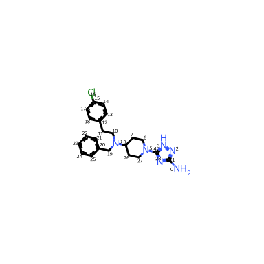 Nc1n[nH]c(N2CCC(N(CCc3ccc(Cl)cc3)Cc3ccccc3)CC2)n1